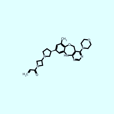 C=CC(=O)N1CC(N2CC[C@@H](c3cc(C)c4c(c3)Nc3ncnc(N5CCOCC5)c3CO4)C2)C1